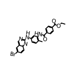 CCOC(=O)c1ccc(C(=O)Nc2cc(Nc3ncc4cc(Br)ccc4n3)ccc2C)cc1